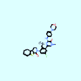 CC(=O)OCc1c(-c2cn(C)c(=O)c(Nc3ccc(N4CCOCC4)cc3)n2)cc(F)cc1N1CCc2c(sc3c2CCCC3)C1=O